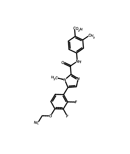 Cc1cc(NC(=O)c2ncc(-c3ccc(OCC#N)c(F)c3F)n2C)ccc1C(=O)O